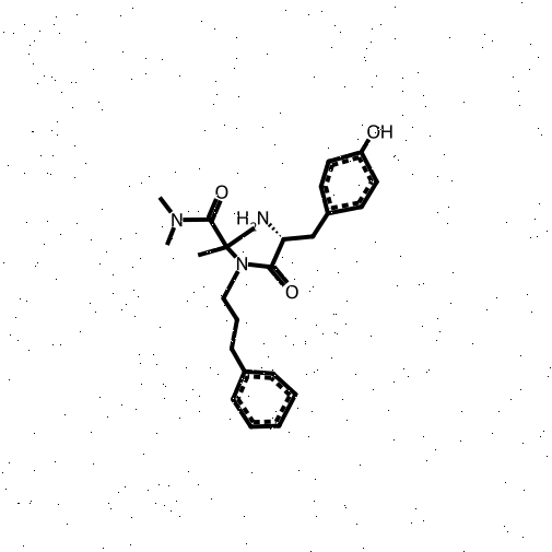 CN(C)C(=O)C(C)(C)N(CCCc1ccccc1)C(=O)[C@H](N)Cc1ccc(O)cc1